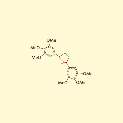 COc1cc(C2CCC(c3cc(OC)c(OC)c(OC)c3)O2)cc(OC)c1OC